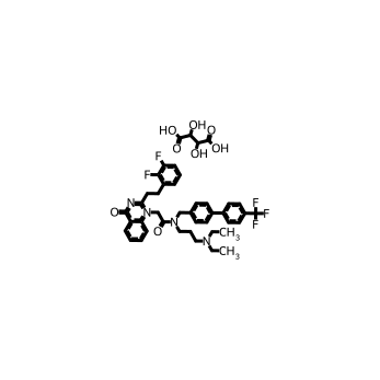 CCN(CC)CCCN(Cc1ccc(-c2ccc(C(F)(F)F)cc2)cc1)C(=O)Cn1c(CCc2cccc(F)c2F)nc(=O)c2ccccc21.O=C(O)C(O)C(O)C(=O)O